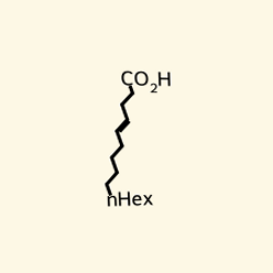 CCCCCCCCCCC=CCCC(=O)O